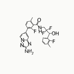 Cc1cccc(C(O)C(F)(F)CNC(=O)c2c(C)ccc(-c3ccn4nc(N)nc4c3)c2F)c1F